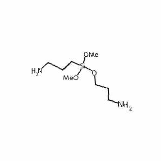 CO[Si](CCCN)(OC)OCCCN